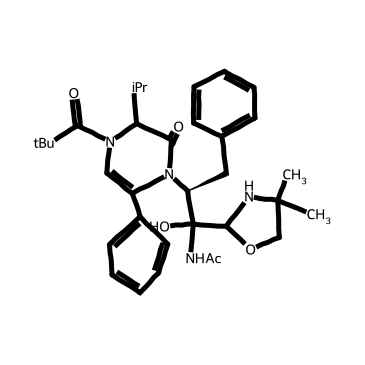 CC(=O)NC(O)(C1NC(C)(C)CO1)[C@H](Cc1ccccc1)N1C(=O)C(C(C)C)N(C(=O)C(C)(C)C)C=C1c1ccccc1